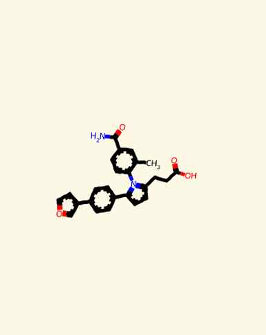 Cc1cc(C(N)=O)ccc1-n1c(CCC(=O)O)ccc1-c1ccc(-c2ccoc2)cc1